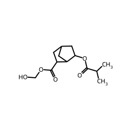 CC(C)C(=O)OC1CC2CC(C(=O)OCO)C1C2